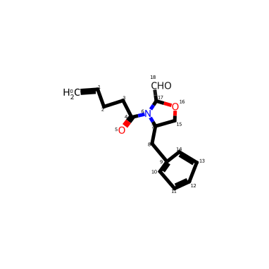 C=CCCC(=O)N1C(Cc2ccccc2)COC1C=O